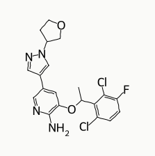 CC(Oc1cc(-c2cnn(C3CCOC3)c2)cnc1N)c1c(Cl)ccc(F)c1Cl